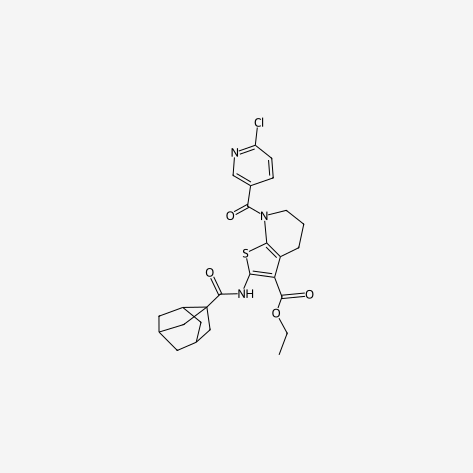 CCOC(=O)c1c(NC(=O)C23CC4CC(CC2C4)C3)sc2c1CCCN2C(=O)c1ccc(Cl)nc1